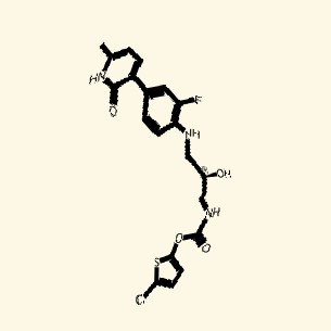 Cc1ccc(-c2ccc(NC[C@@H](O)CNC(=O)Oc3ccc(Cl)s3)c(F)c2)c(=O)[nH]1